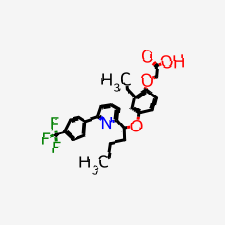 CCCCC(Oc1ccc(OCC(=O)O)c(CC)c1)c1cccc(-c2ccc(C(F)(F)F)cc2)n1